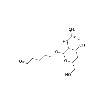 CC(=O)NC1C(O)CC(CO)OC1OCCCCC=O